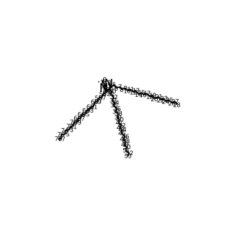 C[CH]c1nc(CCCCCCCCCCCCCCCCCCCCCCCC)c(CCCCCCCCCCCCCCCCCCCCCCCC)c(CCCCCCCCCCCCCCCCCCCCCCCC)n1